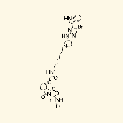 O=C(COc1cccc2c1C(=O)N(C1CCC(=O)NC1=O)C2=O)NCCCCCCCCN1CCC[C@@H](Nc2ncc(Br)c(-c3c[nH]c4ccccc34)n2)C1